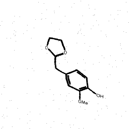 COc1cc(CC2OCCO2)ccc1O